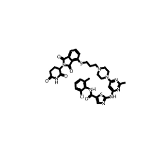 Cc1nc(Nc2ncc(C(=O)Nc3c(C)cccc3Cl)s2)cc(N2CCN(CCCSc3cccc4c3C(=O)N(C3CCC(=O)NC3=O)C4=O)CC2)n1